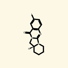 O=c1c2cc(I)ccc2nc2n1C[C@H]1CCCCN21